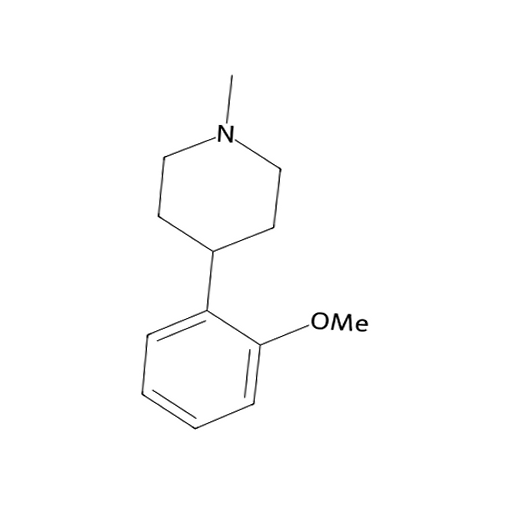 COc1ccccc1C1CCN(C)CC1